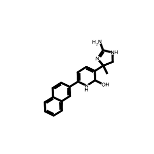 CC1(C2=CC=C(c3ccc4ccccc4c3)NC2O)CNC(N)=N1